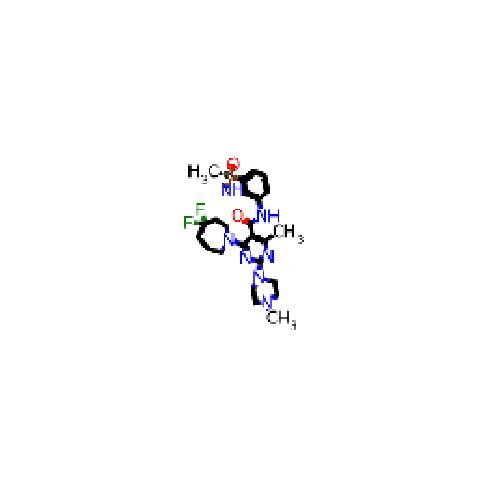 Cc1nc(N2CCN(C)CC2)nc(N2CCCC(F)(F)CC2)c1C(=O)Nc1cccc([S@](C)(=N)=O)c1